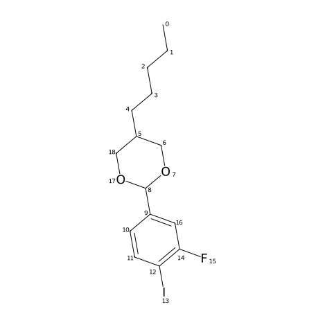 CCCCCC1COC(c2ccc(I)c(F)c2)OC1